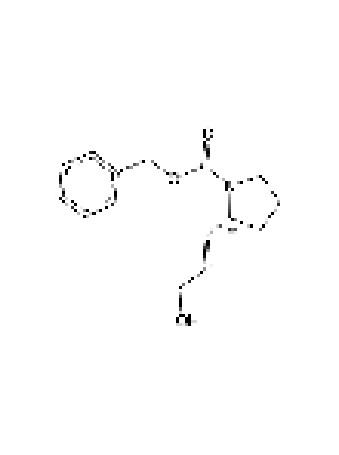 O=C(OCc1ccccc1)N1CCC[C@@H]1C=CCO